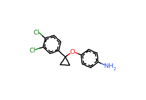 Nc1ccc(OC2(c3ccc(Cl)c(Cl)c3)CC2)cc1